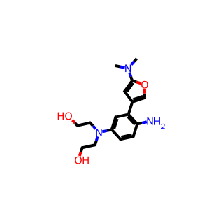 CN(C)c1cc(-c2cc(N(CCO)CCO)ccc2N)co1